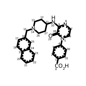 O=C(O)c1ccc(-n2ccnc(NC3CCN(Cc4ccc5ccccc5c4)CC3)c2=O)cc1